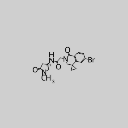 CN1C[C@H](NC(=O)CN2CC3(CC3)c3cc(Br)ccc3C2=O)CC1=O